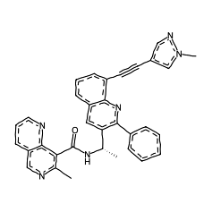 Cc1ncc2cccnc2c1C(=O)N[C@@H](C)c1cc2cccc(C#Cc3cnn(C)c3)c2nc1-c1ccccc1